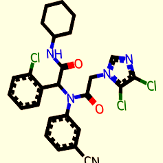 N#Cc1cccc(N(C(=O)Cn2cnc(Cl)c2Cl)C(C(=O)NC2CCCCC2)c2ccccc2Cl)c1